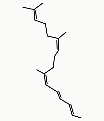 CC=CC=CC=C(C)CCC=C(C)CCC=C(C)C